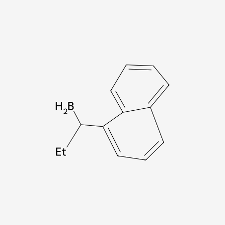 BC(CC)c1cccc2ccccc12